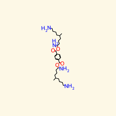 CC(CCCCN)CCCC(N)OC(=O)c1ccc(C(=O)OC(N)CCCC(C)CCCCN)cc1